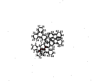 c1ccc2c(c1)-c1cc(N(c3ccc4c5ccccc5c5ccccc5c4c3)c3cc4c(cc3-c3cc5ccccc5c5ccccc35)-c3ccccc3C43c4ccccc4-c4ccccc43)ccc1C21CCCCC1